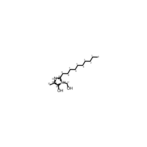 CCCCCCCCCCc1nc(C)c(O)n1CO